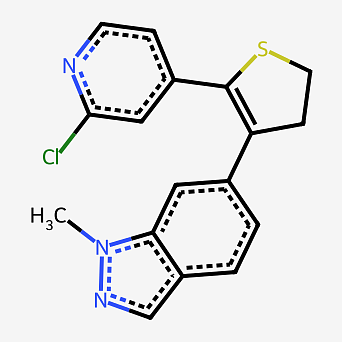 Cn1ncc2ccc(C3=C(c4ccnc(Cl)c4)SCC3)cc21